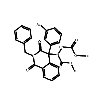 CC(=O)c1cccc(C2(N(NC(=O)OC(C)(C)C)C(=O)OC(C)(C)C)C(=O)N(Cc3ccccc3)C(=O)c3ccccc32)c1